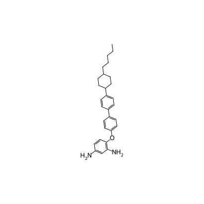 CCCCCC1CCC(c2ccc(-c3ccc(Oc4ccc(N)cc4N)cc3)cc2)CC1